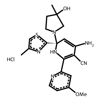 COc1ccnc(C2=C(C#N)C(N)=C[C@](c3nc(C)cs3)(N3CCC(C)(O)C3)N2)c1.Cl